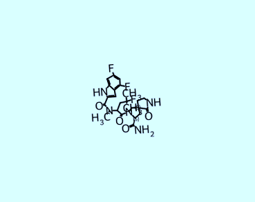 CN(C(=O)c1cc2c(F)cc(F)cc2[nH]1)C(CC(C)(C)F)C(=O)N1C[C@]2(CCNC2=O)C[C@H]1C(N)=O